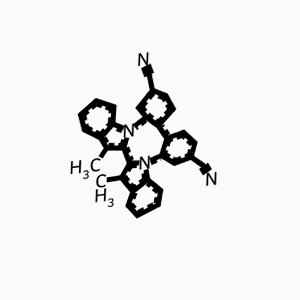 Cc1c2ccccc2n2c3cc(C#N)ccc3c3ccc(C#N)cc3n3c4ccccc4c(C)c3c12